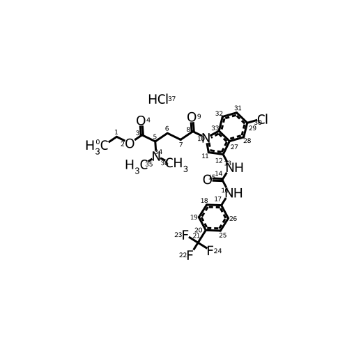 CCOC(=O)C(CCC(=O)n1cc(NC(=O)Nc2ccc(C(F)(F)F)cc2)c2cc(Cl)ccc21)N(C)C.Cl